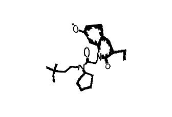 CCc1cc2ccc(OC)cc2n(CC(=O)N(CCC(C)(C)C)C2CCCC2)c1=O